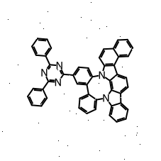 c1ccc(-c2nc(-c3ccccc3)nc(-c3ccc4c(c3)c3ccccc3n3c5ccccc5c5ccc6c7c8ccccc8ccc7n4c6c53)n2)cc1